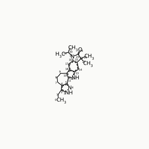 CCc1[nH]nc2c1CCCc1c-2[nH]c2cc3c(cc12)N(C(C)C)C(=O)C3(C)C